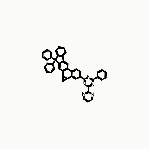 c1ccc(-c2nc(-c3ccc4c(c3)C3CC3c3cc5c(cc3-4)-c3ccccc3C5(c3ccccc3)c3ccccc3)nc(-c3ncccn3)n2)cc1